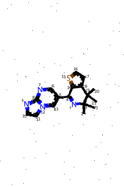 CC1(C)N=C(c2cnc3nccn3c2)c2sccc2C1(C)C